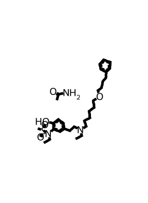 CC(N)=O.CCN(CCCCCCOCCCCc1ccccc1)CCc1ccc(O)c(N(CC)S(C)(=O)=O)c1